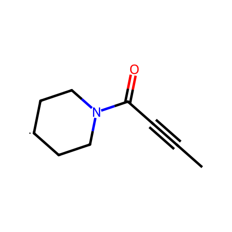 CC#CC(=O)N1CC[CH]CC1